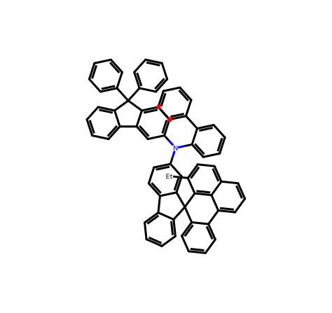 CCc1ccc2cccc3c2c1C1(c2ccccc2-c2ccc(N(c4ccc5c(c4)-c4ccccc4C5(c4ccccc4)c4ccccc4)c4ccccc4-c4ccccc4)cc21)c1ccccc1-3